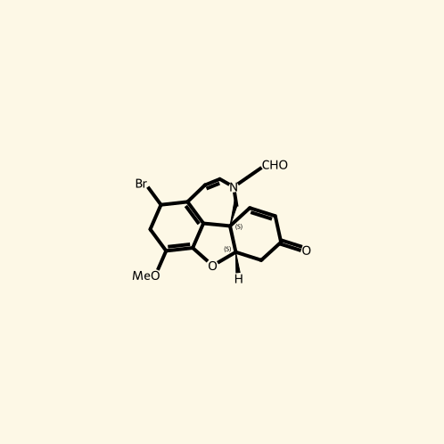 COC1=C2O[C@H]3CC(=O)C=C[C@]34CN(C=O)C=CC(=C24)C(Br)C1